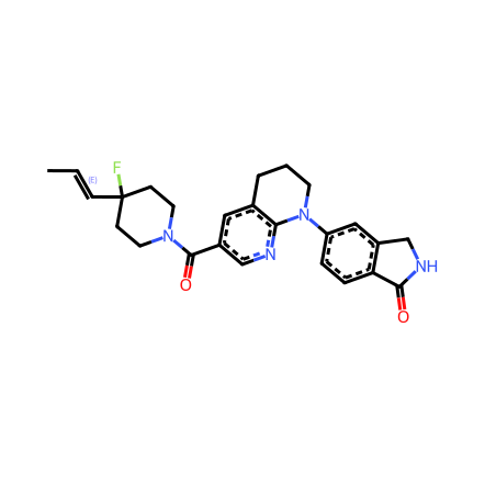 C/C=C/C1(F)CCN(C(=O)c2cnc3c(c2)CCCN3c2ccc3c(c2)CNC3=O)CC1